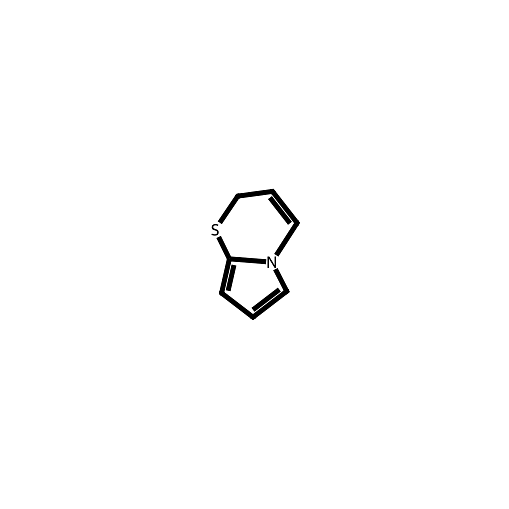 C1=Cn2cccc2SC1